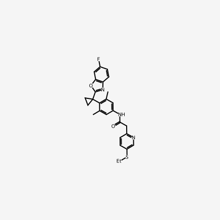 CCSc1ccc(CC(=O)Nc2cc(C)c(C3(c4nc5ccc(F)cc5o4)CC3)c(C)c2)nc1